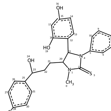 CN1C(=S)N(c2ccccc2)C(c2ccc(O)cc2O)C1CCC(O)c1ccc(F)cc1